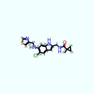 CC1(C(=O)NCc2cc3cc(Cl)c(NCc4cscn4)cc3[nH]2)CC1